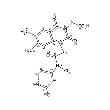 Cc1cc2c(=O)n(CC(=O)O)c(=O)n(CC(=O)N(Cl)c3ccnc(Cl)c3)c2cc1C